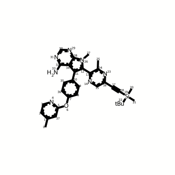 Cc1ccnc(Oc2ccc(-c3c(-c4ncc(C#C[Si](C)(C)C(C)(C)C)nc4C)n(C)c4ncnc(N)c34)cc2)c1